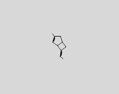 CC1=C[C@@H]2C(=CC(=O)O)CC2C1